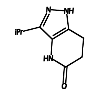 CC(C)c1n[nH]c2c1NC(=O)CC2